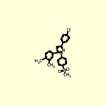 Cc1ccc(-c2cc(-c3ccc(Cl)cc3)nn2-c2ccc(S(C)(=O)=O)cc2)cc1C